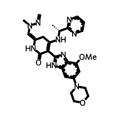 C=NN(C)/C=C1\CC(N[C@H](C)c2ncccn2)=C(c2nc3c(OC)cc(N4CCOCC4)cc3[nH]2)C(=O)N1